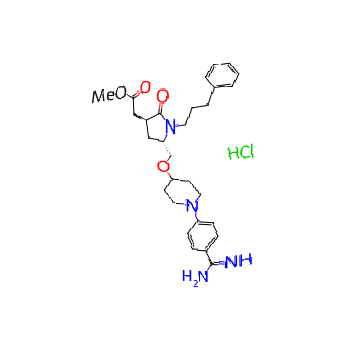 COC(=O)C[C@@H]1C[C@@H](COC2CCN(c3ccc(C(=N)N)cc3)CC2)N(CCCc2ccccc2)C1=O.Cl